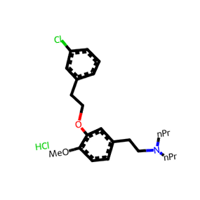 CCCN(CCC)CCc1ccc(OC)c(OCCc2cccc(Cl)c2)c1.Cl